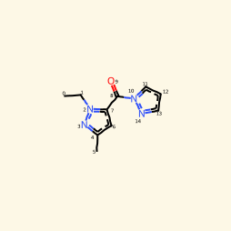 CCn1nc(C)cc1C(=O)n1cccn1